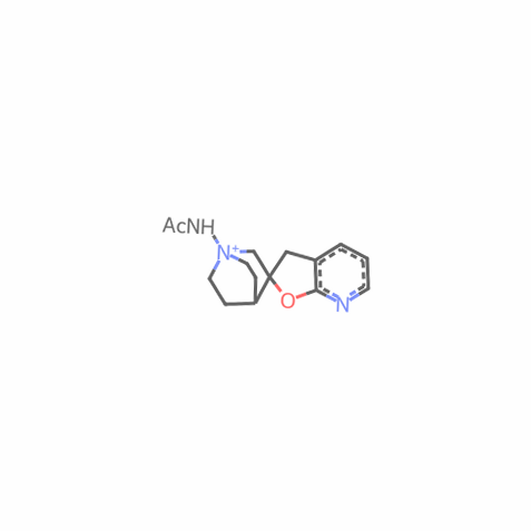 CC(=O)N[N+]12CCC(CC1)C1(Cc3cccnc3O1)C2